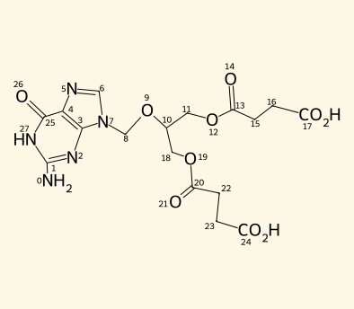 Nc1nc2c(ncn2COC(COC(=O)CCC(=O)O)COC(=O)CCC(=O)O)c(=O)[nH]1